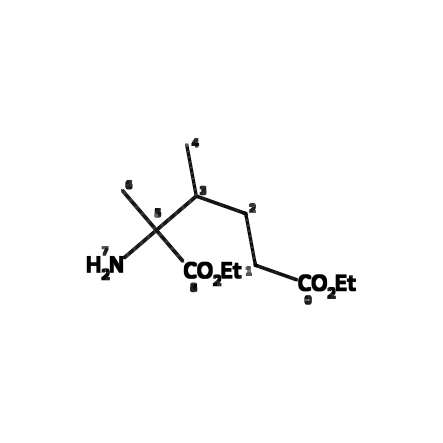 CCOC(=O)CCC(C)C(C)(N)C(=O)OCC